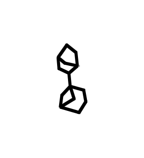 C1CC2CC(C3CC4CC[C]3C4)(C1)C2